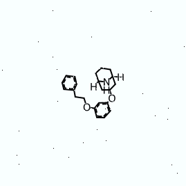 c1ccc(CCOc2cccc(O[C@@H]3C[C@H]4CCC[C@@H](C3)N4)c2)cc1